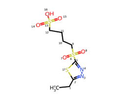 CCc1nnc(S(=O)(=O)CCCCS(=O)(=O)O)s1